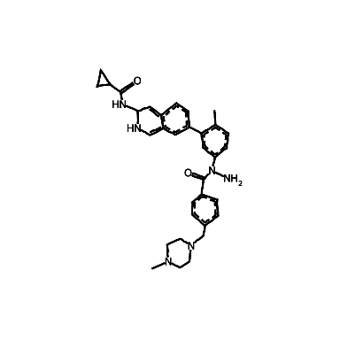 Cc1ccc(N(N)C(=O)c2ccc(CN3CCN(C)CC3)cc2)cc1-c1ccc2c(c1)=CNC(NC(=O)C1CC1)C=2